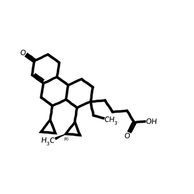 CCC1(CCCC(=O)O)CCC2C3CCC(=O)C=C3CC(C3CC3)C2C1C1C[C@H]1C